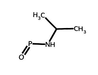 CC(C)NP=O